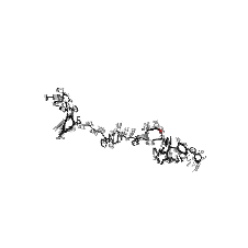 Nc1ncnc2c1c(-c1ccc(Oc3ccccc3)cc1)nn2C1CCCN(C(=O)/C=C/CN2CCN(C(=O)CCCCSc3cccc4c3C(=O)N(C3CCC(=O)NC3=O)C4=O)CC2)C1